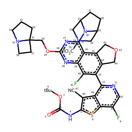 CC(C)(C)OC(=O)Nc1sc2c(F)cnc(-c3c4c(c5c(N6C7CCC6CN(C(=O)O)C7)nc(OCC67CCCN6CC7)nc5c3F)COC4)c2c1C#N